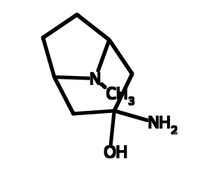 CN1C2CCC1CC(N)(O)C2